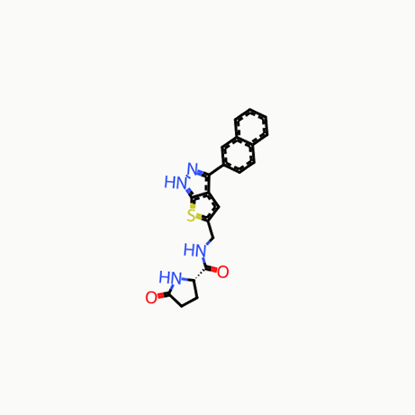 O=C1CC[C@@H](C(=O)NCc2cc3c(-c4ccc5ccccc5c4)n[nH]c3s2)N1